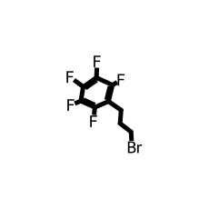 Fc1c(F)c(F)c(CCCBr)c(F)c1F